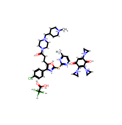 Cc1ccnc(Sc2nc(-c3ccc(Cl)cc3)c(CCC(=O)N3CCN(CC4CCN(C)CC4)CC3)o2)n1.O=C(O)C(F)(F)F.O=C1C=C(N2CC2)C(=O)C(N2CC2)=C1N1CC1